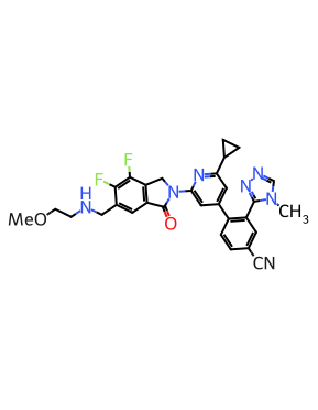 COCCNCc1cc2c(c(F)c1F)CN(c1cc(-c3ccc(C#N)cc3-c3nncn3C)cc(C3CC3)n1)C2=O